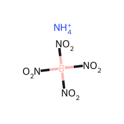 O=[N+]([O-])[B-]([N+](=O)[O-])([N+](=O)[O-])[N+](=O)[O-].[NH4+]